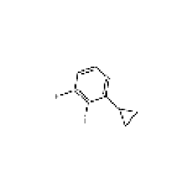 Fc1cccc(C2CC2)c1I